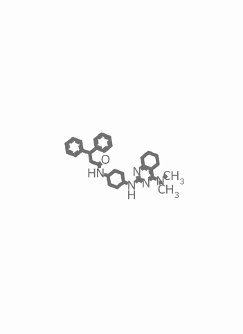 CN(C)c1nc(NC2CCC(NC(=O)CC(c3ccccc3)c3ccccc3)CC2)nc2c1CCCC2